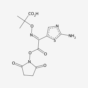 CC(C)(ON=C(C(=O)ON1C(=O)CCC1=O)c1cnc(N)s1)C(=O)O